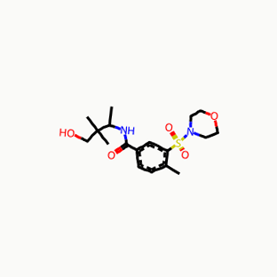 Cc1ccc(C(=O)NC(C)C(C)(C)CO)cc1S(=O)(=O)N1CCOCC1